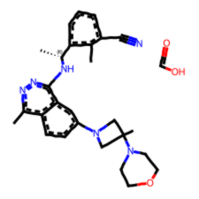 Cc1c(C#N)cccc1[C@@H](C)Nc1nnc(C)c2ccc(N3CC(C)(N4CCOCC4)C3)cc12.O=CO